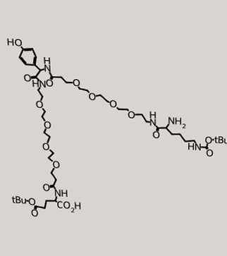 CC(C)(C)OC(=O)CCC(NC(=O)CCOCCOCCOCCOCCNC(=O)C(NC(=O)CCOCCOCCOCCOCCNC(=O)C(N)CCCCNC(=O)OC(C)(C)C)c1ccc(O)cc1)C(=O)O